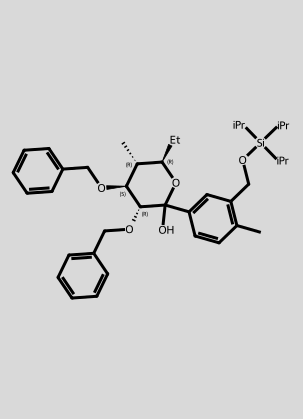 CC[C@H]1OC(O)(c2ccc(C)c(CO[Si](C(C)C)(C(C)C)C(C)C)c2)[C@H](OCc2ccccc2)[C@@H](OCc2ccccc2)[C@@H]1C